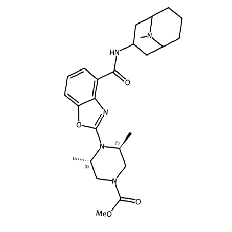 COC(=O)N1C[C@H](C)N(c2nc3c(C(=O)NC4CC5CCCC(C4)N5C)cccc3o2)[C@@H](C)C1